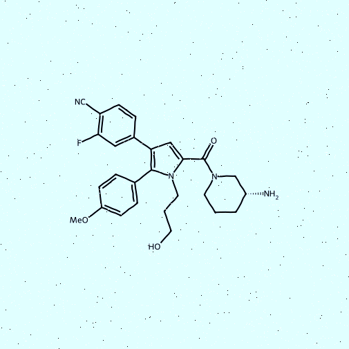 COc1ccc(-c2c(-c3ccc(C#N)c(F)c3)cc(C(=O)N3CCC[C@@H](N)C3)n2CCCO)cc1